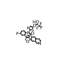 O=C(O)C(F)(F)F.O=S(=O)(c1ccc2cnccc2c1)N(c1nccs1)c1ccc(F)cc1C1=CCOC1